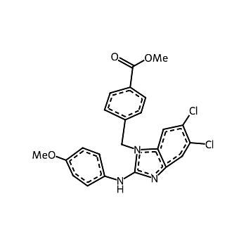 COC(=O)c1ccc(Cn2c(Nc3ccc(OC)cc3)nc3cc(Cl)c(Cl)cc32)cc1